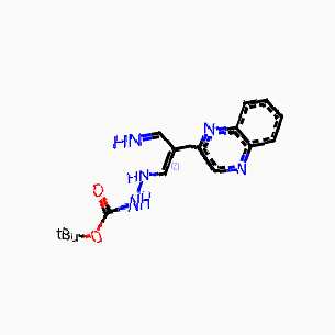 CC(C)(C)OC(=O)NN/C=C(\C=N)c1cnc2ccccc2n1